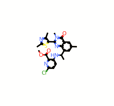 COC(=O)c1nc(Cl)ccc1NC(C)c1cc(C)cc2c(=O)n(C)c(-c3sc(C)nc3C)nc12